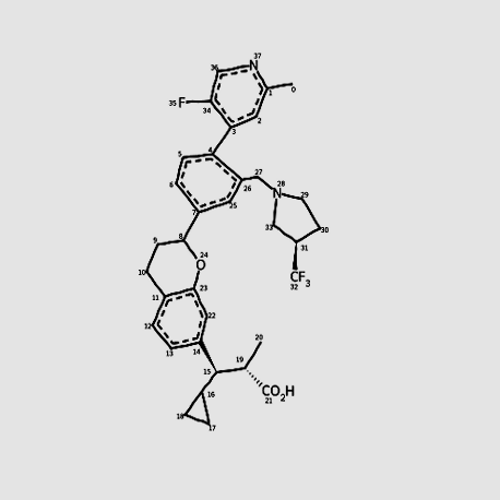 Cc1cc(-c2ccc(C3CCc4ccc([C@H](C5CC5)[C@H](C)C(=O)O)cc4O3)cc2CN2CC[C@@H](C(F)(F)F)C2)c(F)cn1